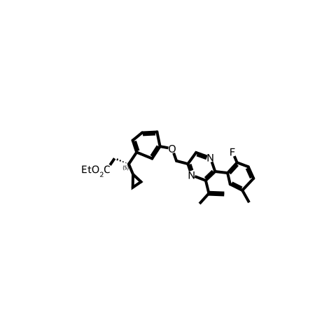 C=C(C)c1nc(COc2cccc([C@@H](CC(=O)OCC)C3CC3)c2)cnc1-c1cc(C)ccc1F